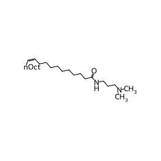 CCCCCCCC/C=C\CCCCCCCCCC(=O)NCCCN(C)C